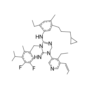 C/C=C\c1cncc(N2CN=C(Nc3cc(CCCC4CC4)c(C)cc3CC)N(Cc3cc(F)c(F)c(C(C)C)c3C)C2=N)c1CC